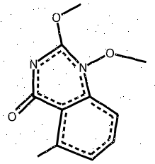 COc1nc(=O)c2c(C)cccc2n1OC